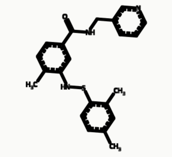 Cc1ccc(SNc2cc(C(=O)NCc3cccnc3)ccc2C)c(C)c1